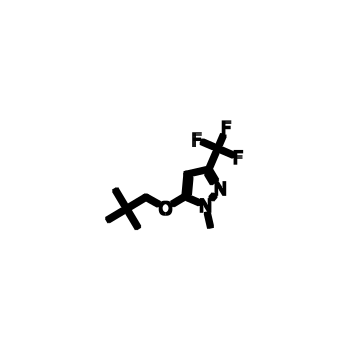 Cn1nc(C(F)(F)F)cc1OCC(C)(C)C